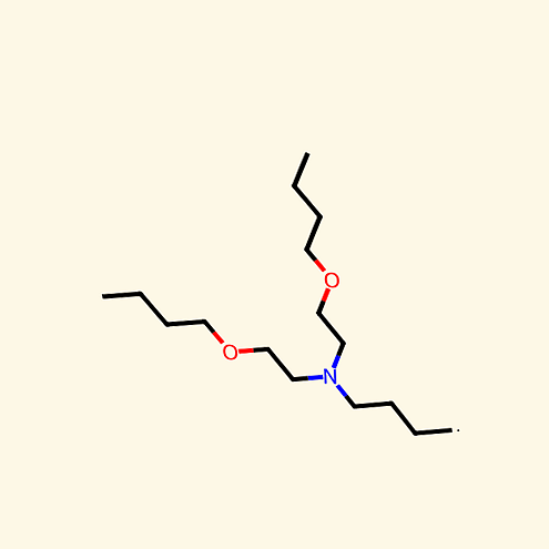 [CH2]CCCN(CCOCCCC)CCOCCCC